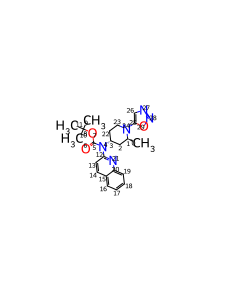 C[C@H]1C[C@H](N(C(=O)OC(C)(C)C)c2ccc3ccccc3n2)CCN1c1cnno1